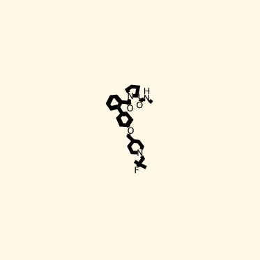 CNC(=O)[C@H]1CCCN1C(=O)c1ccccc1-c1ccc(OCC2CCN(CC(C)(C)F)CC2)cc1